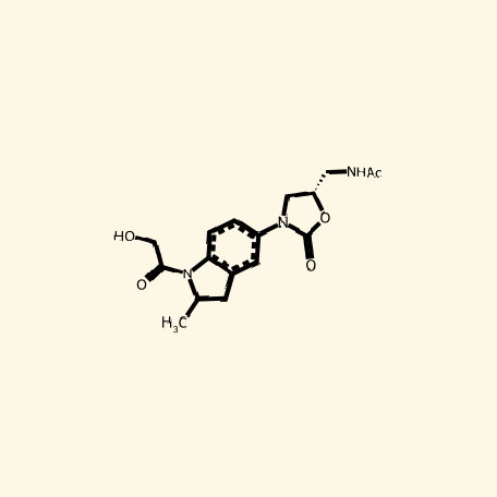 CC(=O)NC[C@H]1CN(c2ccc3c(c2)CC(C)N3C(=O)CO)C(=O)O1